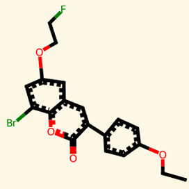 CCOc1ccc(-c2cc3cc(OCCF)cc(Br)c3oc2=O)cc1